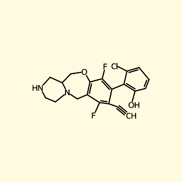 C#Cc1c(F)c2c(c(F)c1-c1c(O)cccc1Cl)OCC1CNCCN1C2